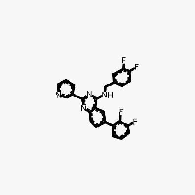 Fc1ccc(CNc2nc(-c3cccnc3)nc3ccc(-c4cccc(F)c4F)cc23)cc1F